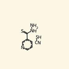 N#CS.NNC(=S)c1cccnc1